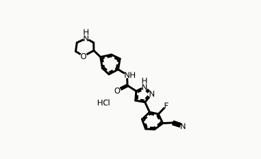 Cl.N#Cc1cccc(-c2cc(C(=O)Nc3ccc(C4CNCCO4)cc3)[nH]n2)c1F